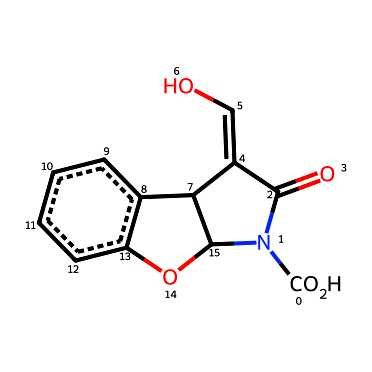 O=C(O)N1C(=O)/C(=C/O)C2c3ccccc3OC21